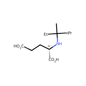 CCCC(C)(CC)N[C@@H](CCC(=O)O)C(=O)O